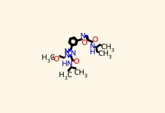 CCC(CC)NC(=O)c1cnc(-c2cccc(-c3nc(C(=O)NC(CC)CC)n(CCOC)n3)c2)o1